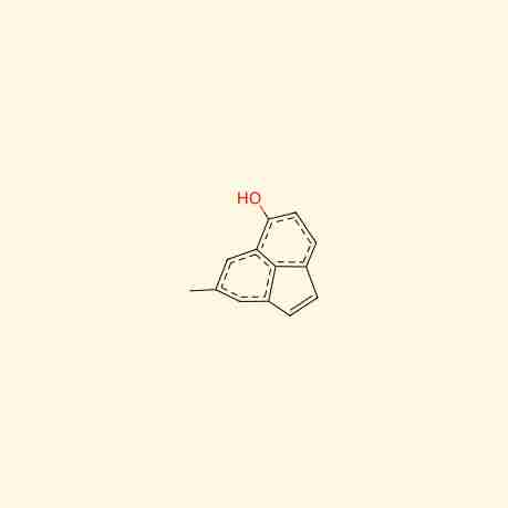 Cc1cc2c3c(ccc(O)c3c1)C=C2